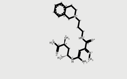 C/N=C(\C=C(/N)N[C@H](C)C[C@H](C)C(N)=O)C(=O)NCCCN1CCc2ccccc2C1